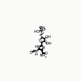 NC(=O)c1nc(C2O[C@H](COP(=O)(O)O)[C@@H](O)[C@H]2O)[nH]c1NC=O